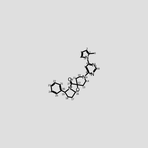 Cc1cccn1-c1cc(N2CCC3(CC2)OC2CCC(c4ccccc4)N2C3=O)ncn1